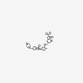 COC(=O)c1cc2cc(COc3cc(NC(=O)c4ccc(CN5CCN(C)CC5)cc4)ccc3C)cnc2[nH]1